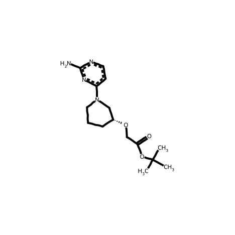 CC(C)(C)OC(=O)CO[C@@H]1CCCN(c2ccnc(N)n2)C1